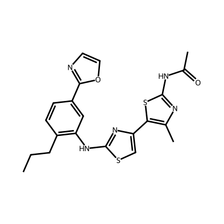 CCCc1ccc(-c2ncco2)cc1Nc1nc(-c2sc(NC(C)=O)nc2C)cs1